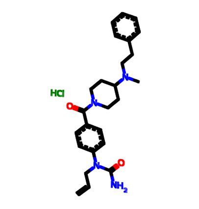 C=CCN(C(N)=O)c1ccc(C(=O)N2CCC(N(C)CCc3ccccc3)CC2)cc1.Cl